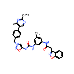 COc1ncc(-c2ccc(C[n+]3cc([N-]C(=O)Nc4cc(NC(=O)Cc5noc6ccccc56)cc(C(F)(F)F)c4)on3)cc2)c(C)n1